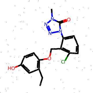 CCc1cc(O)ccc1OCc1c(Cl)cccc1-n1nnn(C)c1=O